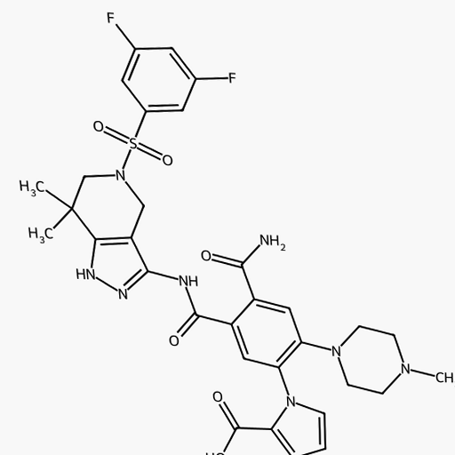 CN1CCN(c2cc(C(N)=O)c(C(=O)Nc3n[nH]c4c3CN(S(=O)(=O)c3cc(F)cc(F)c3)CC4(C)C)cc2-n2cccc2C(=O)O)CC1